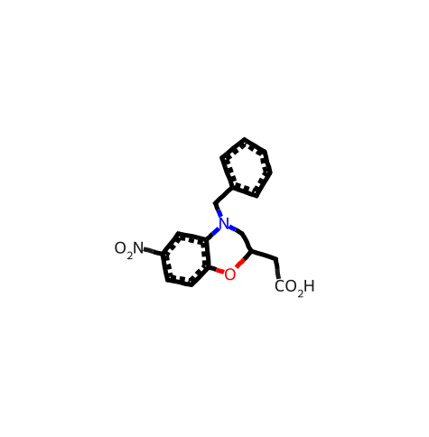 O=C(O)CC1CN(Cc2ccccc2)c2cc([N+](=O)[O-])ccc2O1